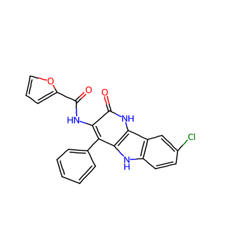 O=C(Nc1c(-c2ccccc2)c2[nH]c3ccc(Cl)cc3c2[nH]c1=O)c1ccco1